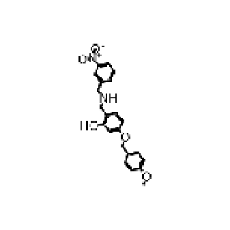 COc1ccc(COc2ccc(CNCc3cccc([N+](=O)[O-])c3)c(O)c2)cc1